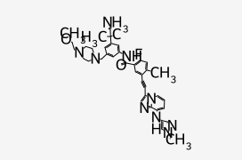 COCCN1CCN(Cc2cc(NC(=O)c3cc(C#Cc4cnc5c(Nc6cnn(C)c6)cccn45)c(C)cc3F)cc(C(C)(C)C#N)c2)CC1